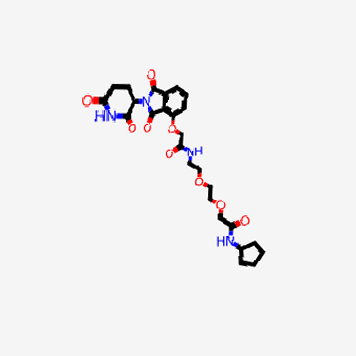 O=C(COc1cccc2c1C(=O)N(C1CCC(=O)NC1=O)C2=O)NCCOCCOCC(=O)NC1CCCC1